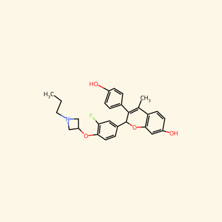 CCCN1CC(Oc2ccc(C3Oc4cc(O)ccc4C(C)=C3c3ccc(O)cc3)cc2F)C1